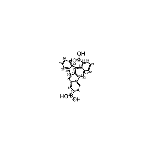 OB(O)c1ccc2c(c1)cc1c3c(c4c(B(O)O)cccc4cc32)-c2ccccc2-1